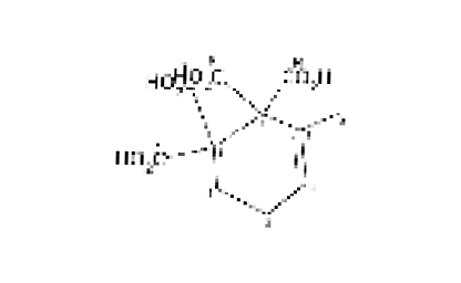 CC1=CCCC(C(=O)O)(C(=O)O)C1(C(=O)O)C(=O)O